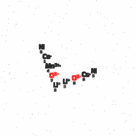 [Co].[Co].[Li+].[Li+].[Mn+2].[Ni].[Ni].[O-2].[O-2]